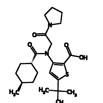 CC(C)(C)c1cc(N(CC(=O)N2CCCC2)C(=O)[C@H]2CC[C@H](C)CC2)c(C(=O)O)s1